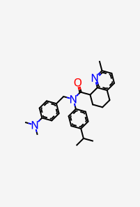 Cc1ccc2c(n1)C(C(=O)N(Cc1ccc(N(C)C)cc1)c1ccc(C(C)C)cc1)CCC2